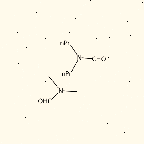 CCCN(C=O)CCC.CN(C)C=O